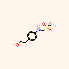 CS(=O)(=O)CNc1ccc(CCO)cc1